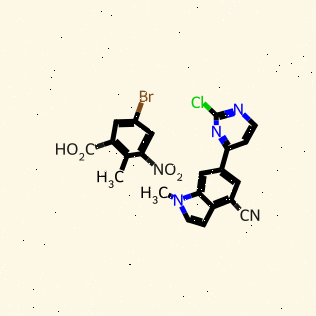 Cc1c(C(=O)O)cc(Br)cc1[N+](=O)[O-].Cn1ccc2c(C#N)cc(-c3ccnc(Cl)n3)cc21